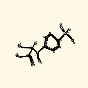 CC(C)(C)C(=O)C(Cl)(C#N)C(=O)c1ccc(S(C)(=O)=O)cc1